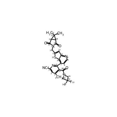 Cc1cc(C#N)nc(-c2ccnc3cc(CN4C(=O)C5C(C4=O)C5(C)C)sc23)c1C(=O)N1CC(F)(F)C1